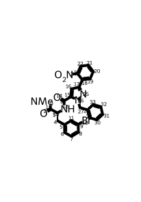 CNC(=O)[C@H](Cc1cccc(Br)c1)NC(=O)c1cc(-c2ccccc2[N+](=O)[O-])nn1Cc1ccccc1